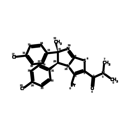 CC(C)C1=C(C(=O)N(C)C)SC2=N[C@](C)(c3ccc(Cl)cc3)[C@H](c3ccc(Cl)cc3)N21